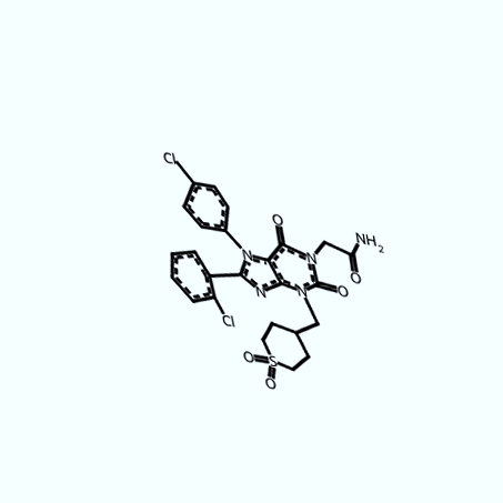 NC(=O)Cn1c(=O)c2c(nc(-c3ccccc3Cl)n2-c2ccc(Cl)cc2)n(CC2CCS(=O)(=O)CC2)c1=O